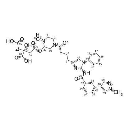 CN1CCN(C(=O)CCCc2cn(-c3ccccc3)c(NC(=O)c3cccc(-c4cnn(C)c4)c3)n2)CC1OC(=O)CC(O)(CC(=O)O)C(=O)O